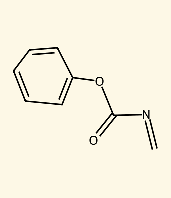 C=NC(=O)Oc1ccccc1